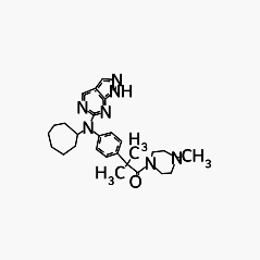 CN1CCN(C(=O)C(C)(C)c2ccc(N(c3ncc4cn[nH]c4n3)C3CCCCCC3)cc2)CC1